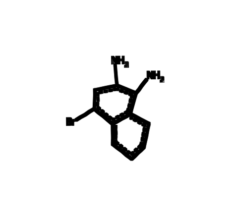 Nc1cc(Br)c2ccccc2c1N